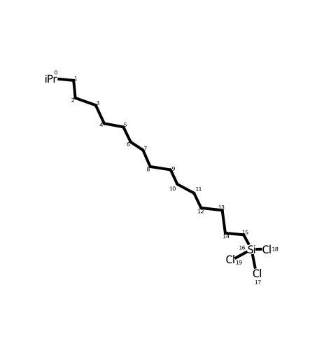 CC(C)CCCCCCCCCCCCCCC[Si](Cl)(Cl)Cl